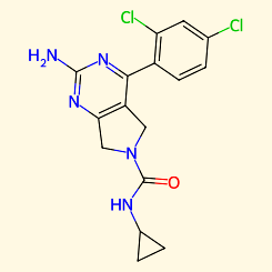 Nc1nc2c(c(-c3ccc(Cl)cc3Cl)n1)CN(C(=O)NC1CC1)C2